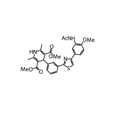 COC(=O)C1=C(C)NC(C)=C(C(=O)OC)C1c1cccc(-c2nc(-c3ccc(OC)c(NC(C)=O)c3)cs2)c1